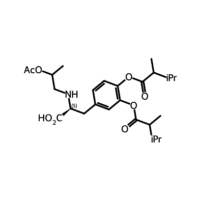 CC(=O)OC(C)CN[C@@H](Cc1ccc(OC(=O)C(C)C(C)C)c(OC(=O)C(C)C(C)C)c1)C(=O)O